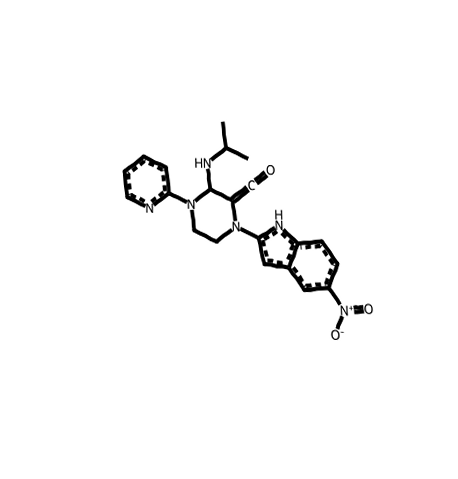 CC(C)NC1C(=C=O)N(c2cc3cc([N+](=O)[O-])ccc3[nH]2)CCN1c1ccccn1